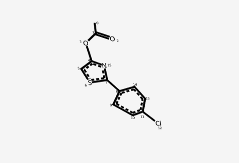 CC(=O)Oc1csc(-c2ccc(Cl)cc2)n1